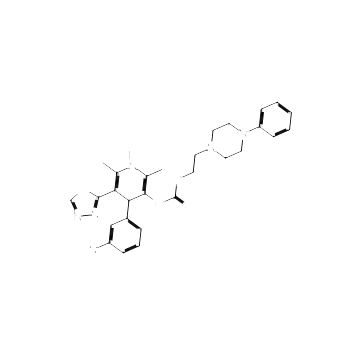 CC1=C(OC(=O)OCCN2CCN(c3ccccc3)CC2)C(c2cccc([N+](=O)[O-])c2)C(c2nnco2)=C(C)N1